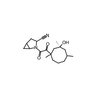 CC1CCCC(C)(C(=O)C(=O)N2C(C#N)CC3CC32)C[C@@](C)(O)C1